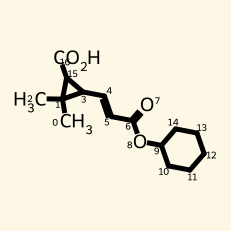 CC1(C)C(C=CC(=O)OC2CCCCC2)C1C(=O)O